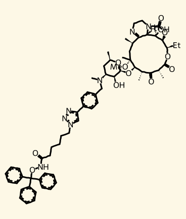 CC[C@H]1OC(=O)[C@H](C)C(=O)[C@H](C)[C@@H](O[C@@H]2O[C@H](C)C[C@H](N(C)Cc3ccc(-c4cn(CCCCCC(=O)NOC(c5ccccc5)(c5ccccc5)c5ccccc5)nn4)cc3)[C@@H]2O)[C@](C)(OC)C[C@@H](C)C2=NCCN3C(=O)O[C@@]1(C)[C@H](O)[C@H]23